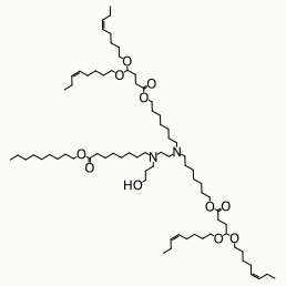 CC/C=C\CCCCOC(CCC(=O)OCCCCCCCN(CCCCCCCOC(=O)CCC(OCCCC/C=C\CC)OCCCC/C=C\CC)CCN(CCCO)CCCCCCCC(=O)OCCCCCCCCC)OCCCC/C=C\CC